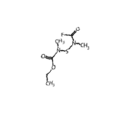 CCOC(=O)N(C)SN(C)C(=O)F